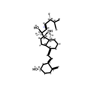 C=C1CC[C@H](O)CC1=CC=C1CCC[C@@]2(C)C1CC[C@]2(O)[C@@](C)(O)/C=C/[C@H](C)C(C)C